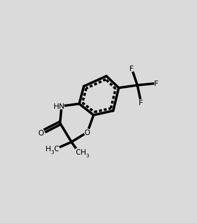 CC1(C)Oc2cc(C(F)(F)F)ccc2NC1=O